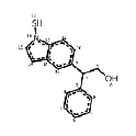 OCC(c1ccccc1)c1ccc2c(ccn2S)c1